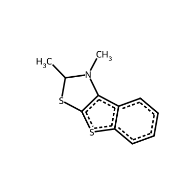 CC1Sc2sc3ccccc3c2N1C